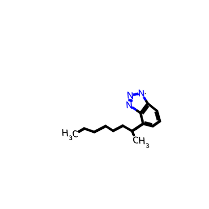 CCCCCCC(C)c1cccc2c1N=N[N]2